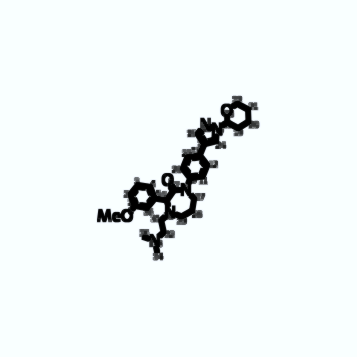 COc1cccc(C2C(=O)N(c3ccc(-c4cnn(C5CCCCO5)c4)cc3)CCCN2CCN(C)C)c1